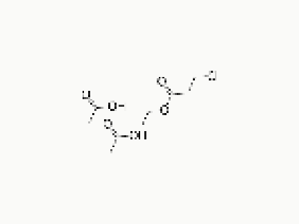 CC(=O)O.CC(=O)O.CCOC(=O)CCCl